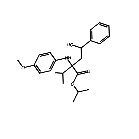 COc1ccc(NC(CC(O)c2ccccc2)(C(=O)OC(C)C)C(C)C)cc1